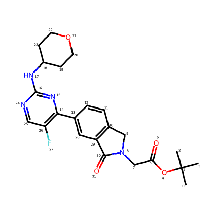 CC(C)(C)OC(=O)CN1Cc2ccc(-c3nc(NC4CCOCC4)ncc3F)cc2C1=O